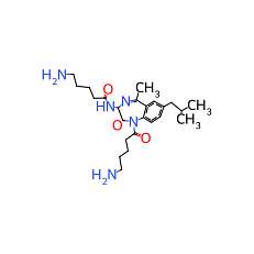 CC1=NC(NC(=O)CCCCN)C(=O)N(C(=O)CCCCN)c2ccc(CC(C)C)cc21